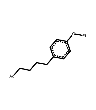 CCOc1ccc(CCCCC(C)=O)cc1